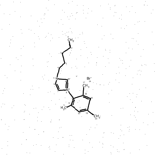 CCCCCn1cc[n+](-c2c(C)cc(C)cc2C)c1.[Br-]